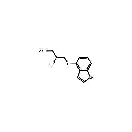 COC[C@H](O)COc1cccc2[nH]ccc12